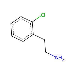 NCCc1c[c]ccc1Cl